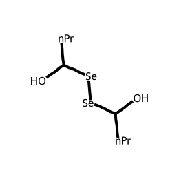 CCCC(O)[Se][Se]C(O)CCC